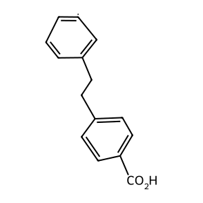 O=C(O)c1ccc(CCc2c[c]ccc2)cc1